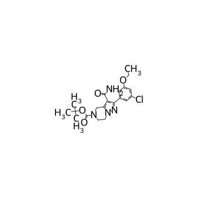 CCOc1cc(Cl)cc(-c2nn3c(c2C(N)=O)CN(C(=O)OC(C)(C)C)CC3)c1